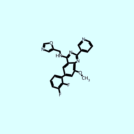 COc1cc(-c2cccc(F)c2F)cc2c(NCc3cnco3)nc(-c3cccnc3)nc12